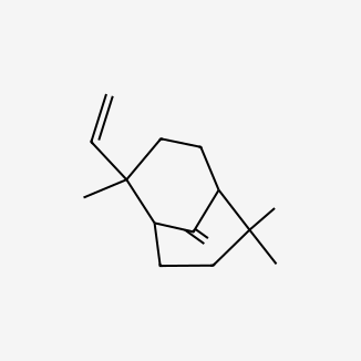 C=CC1(C)CCC2C(=C)C1CCC2(C)C